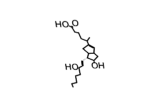 CCCCCC(O)/C=C/[C@@H]1C2CC(C(C)CCCC(=O)O)=CC2C[C@H]1O